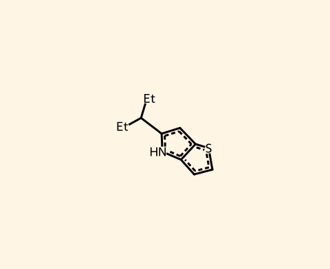 CCC(CC)c1cc2sccc2[nH]1